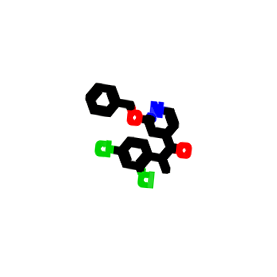 CC(C(=O)c1ccnc(OCc2ccccc2)c1)c1ccc(Cl)cc1Cl